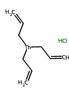 C=C[CH2][Th]([CH2]C=C)[CH2]C=C.Cl